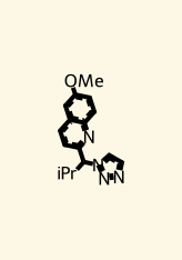 COc1ccc2nc(C(C(C)C)n3ccnn3)ccc2c1